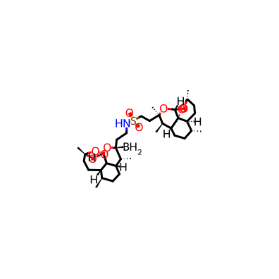 B[C@]1(CCNS(=O)(=O)CC[C@@]2(C)O[C@@H]3O[C@]4(C)CC[C@H]5[C@H](C)CC[C@@H]([C@H]2C)[C@@]35OO4)O[C@@H]2O[C@]3(C)CC[C@H]4[C@H](C)CC[C@@H]([C@H]1C)[C@@]24OO3